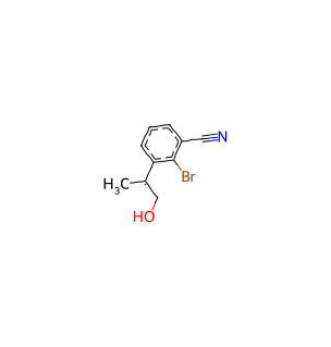 C[C](CO)c1cccc(C#N)c1Br